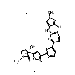 CN1CC[C@@](O)(c2cc(-c3cccc(-c4ccnc(Nc5cn(C)nc5Cl)n4)n3)no2)C1=O